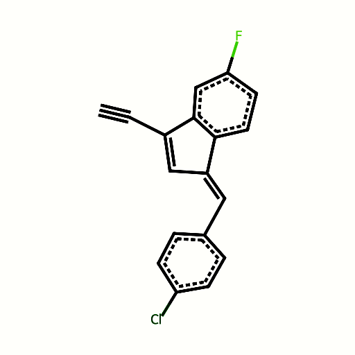 C#CC1=CC(=Cc2ccc(Cl)cc2)c2ccc(F)cc21